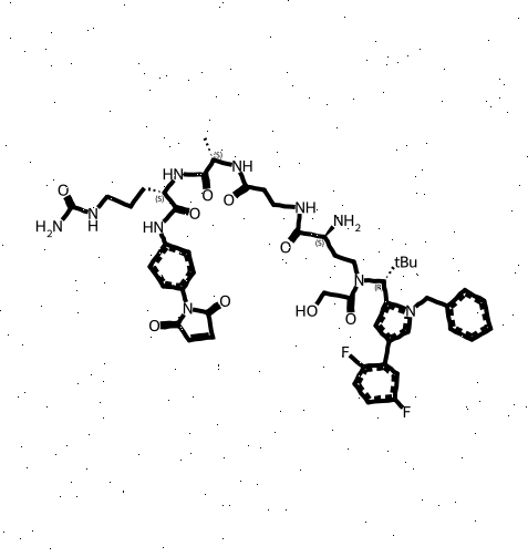 C[C@H](NC(=O)CCNC(=O)[C@@H](N)CCN(C(=O)CO)[C@@H](c1cc(-c2cc(F)ccc2F)cn1Cc1ccccc1)C(C)(C)C)C(=O)N[C@@H](CCCNC(N)=O)C(=O)Nc1ccc(N2C(=O)C=CC2=O)cc1